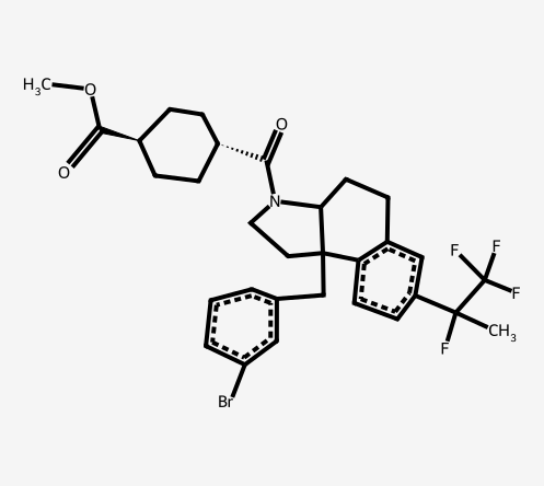 COC(=O)[C@H]1CC[C@H](C(=O)N2CCC3(Cc4cccc(Br)c4)c4ccc(C(C)(F)C(F)(F)F)cc4CCC23)CC1